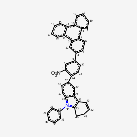 O=[N+]([O-])c1cc(-c2ccc3c4ccccc4c4ccccc4c3c2)ccc1-c1ccc2c(c1)c1c(n2-c2ccccc2)CCC=C1